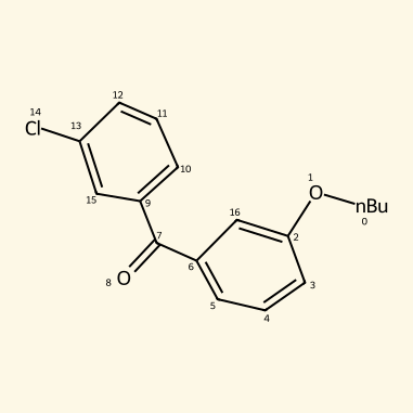 CCCCOc1cccc(C(=O)c2cccc(Cl)c2)c1